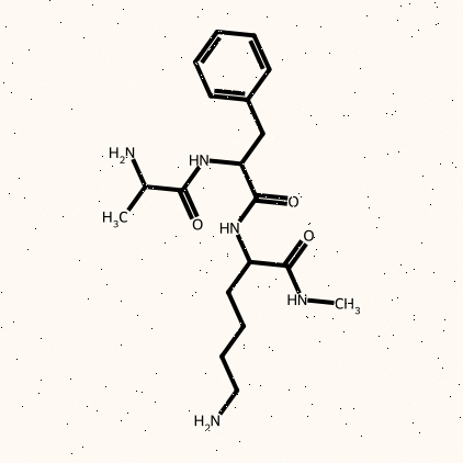 CNC(=O)C(CCCCN)NC(=O)C(Cc1ccccc1)NC(=O)C(C)N